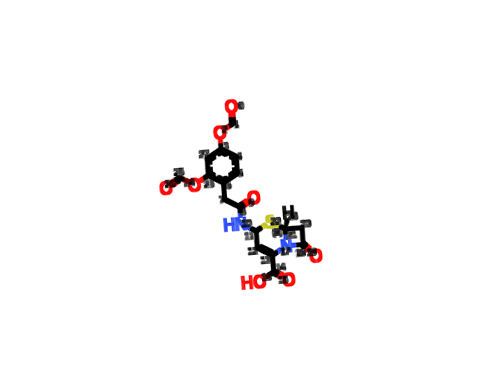 O=COc1ccc(CC(=O)NC2C=C(C(=O)O)N3C(=O)C[C@H]3S2)c(OC=O)c1